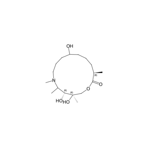 CC1[C@@H](O)[C@](C)(O)COC(=O)[C@H](C)CCCC(O)CCCN1C